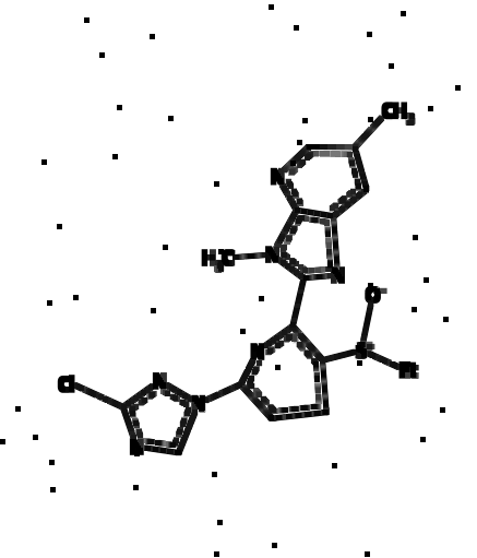 CC[S+]([O-])c1ccc(-n2cnc(Cl)n2)nc1-c1nc2cc(C)cnc2n1C